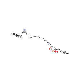 CCCCC/C=C\CCCCCCCC/C=C/C(=O)C[C@@H](O)COC(C)=O